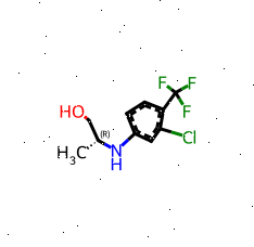 C[C@H](CO)Nc1ccc(C(F)(F)F)c(Cl)c1